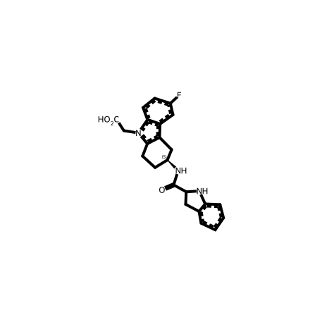 O=C(O)Cn1c2c(c3cc(F)ccc31)C[C@@H](NC(=O)C1Cc3ccccc3N1)CC2